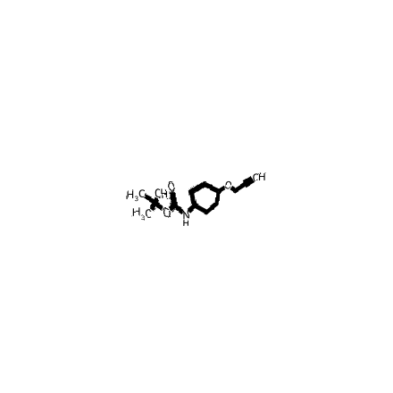 C#CCOC1CCC(NC(=O)OC(C)(C)C)CC1